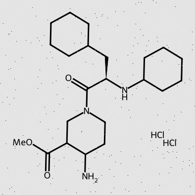 COC(=O)C1CN(C(=O)[C@@H](CC2CCCCC2)NC2CCCCC2)CCC1N.Cl.Cl